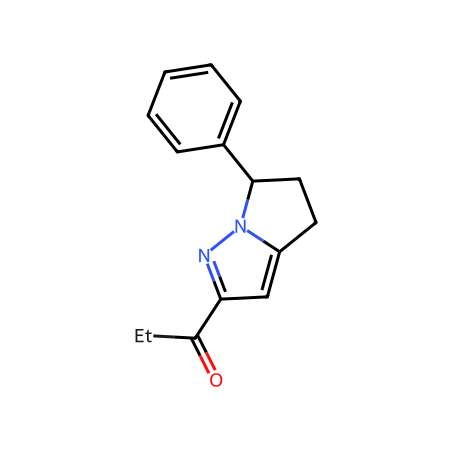 CCC(=O)c1cc2n(n1)C(c1ccccc1)CC2